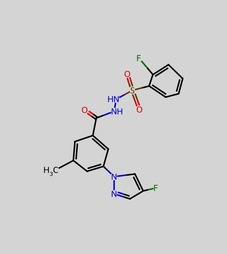 Cc1cc(C(=O)NNS(=O)(=O)c2ccccc2F)cc(-n2cc(F)cn2)c1